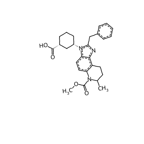 COC(=O)N1c2ccc3c(nc(Cc4ccccc4)n3[C@H]3CCC[C@@H](C(=O)O)C3)c2CCC1C